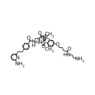 COC(=O)[C@H](CNC(=O)c1ccc(CCc2cccc(N)n2)cc1)NS(=O)(=O)c1c(C)cc(OCCCC(=O)NCCN)cc1C